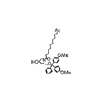 COc1ccc(C(OC[C@@H]2C[C@@H](O)CN2C(=O)CCCCCCCCCCC(C)=O)(c2ccccc2)c2ccc(OC)cc2)cc1